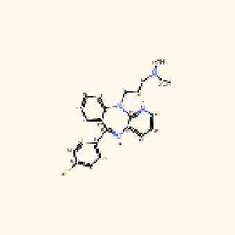 CN(C)CCCN1c2ccccc2C(c2ccc(F)cc2)=Nc2cccnc21